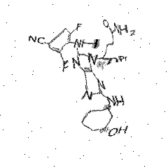 CCC[C@H](CCC(N)=O)n1c(Nc2c(F)cc(C#N)cc2F)nc2cnc(N[C@@H]3CCC[C@@H](O)C3)nc21